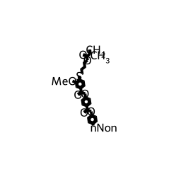 C=C(C)C(=O)OCCCCSc1ccc(C(=O)Oc2ccc(C(=O)Oc3ccc(CCCCCCCCC)cc3)cc2)cc1OC